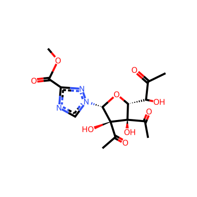 COC(=O)c1ncn([C@@H]2O[C@H](C(O)C(C)=O)[C@](O)(C(C)=O)[C@]2(O)C(C)=O)n1